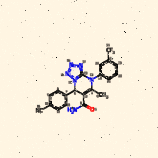 CC1=C(C(N)=O)C(c2ccc(C#N)cc2)n2nnnc2N1c1cccc(C(F)(F)F)c1